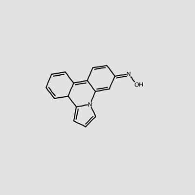 ON=C1C=CC2=C3C=CC=CC3c3cccn3C2=C1